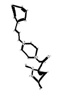 Cc1cc(C(=O)N2CCN(CCCc3ccccc3)CC2)n(C)n1